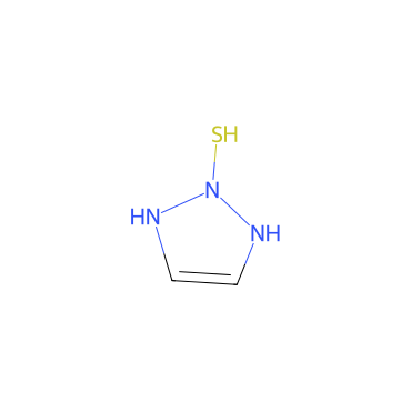 SN1NC=CN1